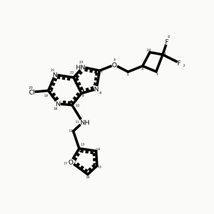 FC1(F)CC(COc2nc3c(NCc4ccco4)nc(Cl)nc3[nH]2)C1